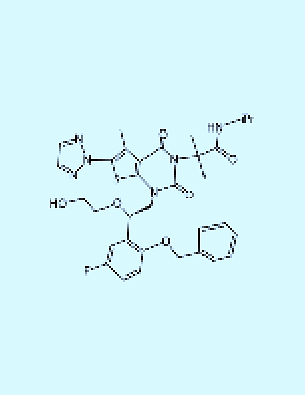 Cc1c(-n2nccn2)sc2c1c(=O)n(C(C)(C)C(=O)NC(C)C)c(=O)n2C[C@H](OCCO)c1cc(F)ccc1OCc1ccccc1